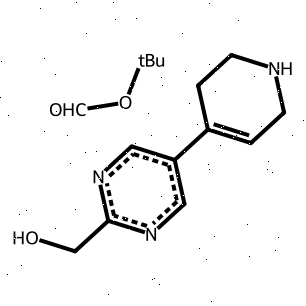 CC(C)(C)OC=O.OCc1ncc(C2=CCNCC2)cn1